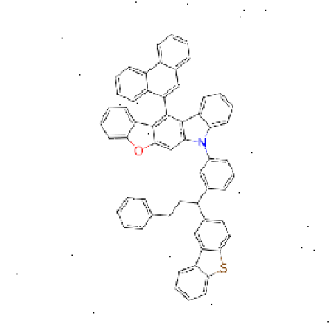 c1ccc(CCC(c2cccc(-n3c4ccccc4c4c(-c5cc6ccccc6c6ccccc56)c5c(cc43)oc3ccccc35)c2)c2ccc3sc4ccccc4c3c2)cc1